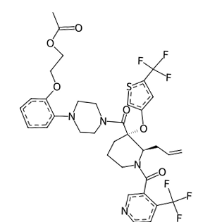 C=CC[C@H]1N(C(=O)c2cnccc2C(F)(F)F)CCC[C@@]1(Oc1csc(C(F)(F)F)c1)C(=O)N1CCN(c2ccccc2OCCOC(C)=O)CC1